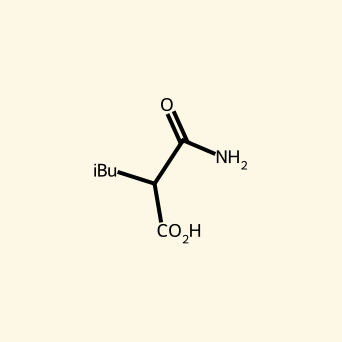 CCC(C)C(C(N)=O)C(=O)O